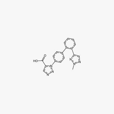 Cn1ncc(-c2ccccc2-c2ccc(-n3nncc3C(=O)O)cc2)n1